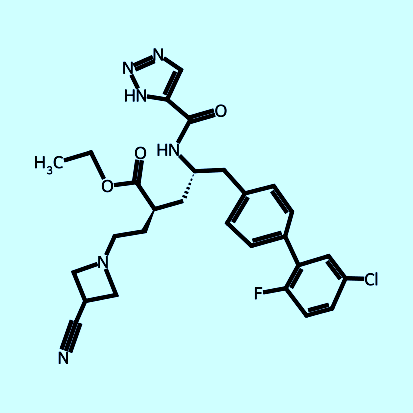 CCOC(=O)[C@H](CCN1CC(C#N)C1)C[C@@H](Cc1ccc(-c2cc(Cl)ccc2F)cc1)NC(=O)c1cnn[nH]1